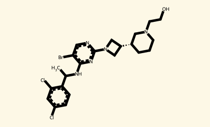 CC(Nc1nc(N2CC([C@H]3CCCN(CCO)C3)C2)ncc1Br)c1ccc(Cl)cc1Cl